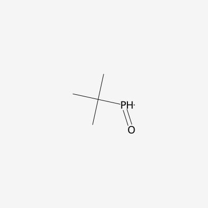 CC(C)(C)[PH]=O